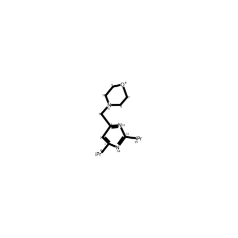 CC(C)c1cc(CN2CCOCC2)nc(C(C)C)n1